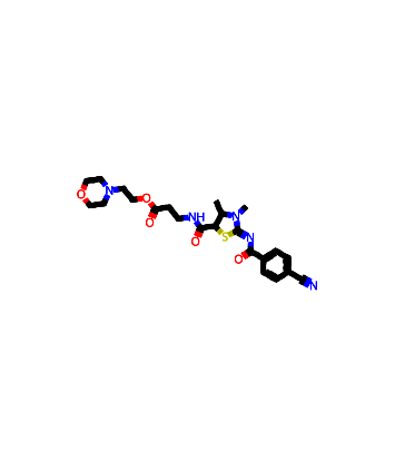 CC1C(C(=O)NCCC(=O)OCCN2CCOCC2)SC(=NC(=O)c2ccc(C#N)cc2)N1C